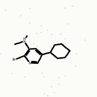 C[SiH](C)c1cc(C2CCCCC2)cnc1Br